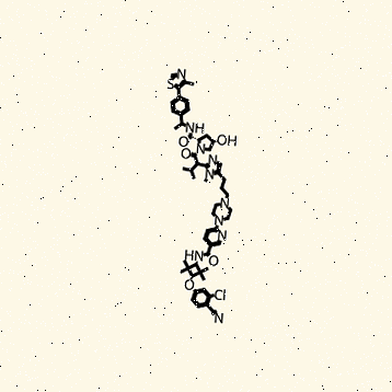 Cc1ncsc1-c1ccc(C(C)NC(=O)[C@@H]2C[C@@H](O)CN2C(=O)C(c2ncc(CCCN3CCN(c4ccc(C(=O)N[C@H]5C(C)(C)[C@H](Oc6ccc(C#N)c(Cl)c6)C5(C)C)cn4)CC3)n2C)C(C)C)cc1